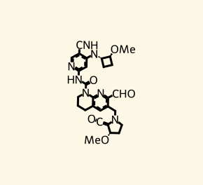 CO[C@H]1CCN(Cc2cc3c(nc2C=O)N(C(=O)Nc2cc(N[C@H]4CC[C@@H]4OC)c(C#N)cn2)CCC3)C1=C=O